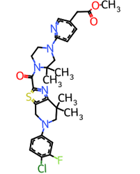 COC(=O)Cc1ccc(N2CCN(C(=O)c3nc4c(s3)CN(c3ccc(Cl)c(F)c3)CC4(C)C)C(C)(C)C2)nc1